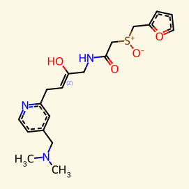 CN(C)Cc1ccnc(C/C=C(\O)CNC(=O)C[S+]([O-])Cc2ccco2)c1